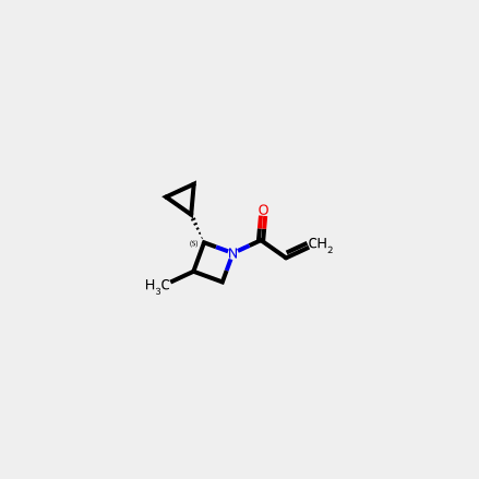 C=CC(=O)N1CC(C)[C@@H]1C1CC1